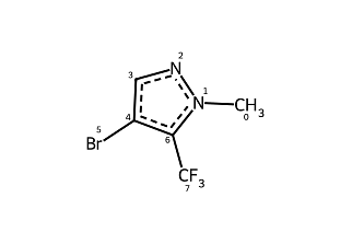 Cn1ncc(Br)c1C(F)(F)F